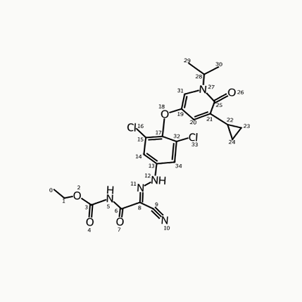 CCOC(=O)NC(=O)/C(C#N)=N/Nc1cc(Cl)c(Oc2cc(C3CC3)c(=O)n(C(C)C)c2)c(Cl)c1